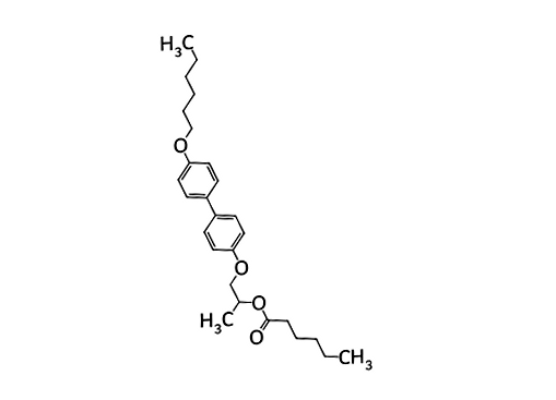 CCCCCCOc1ccc(-c2ccc(OCC(C)OC(=O)CCCCC)cc2)cc1